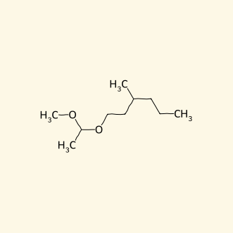 CCCC(C)CCOC(C)OC